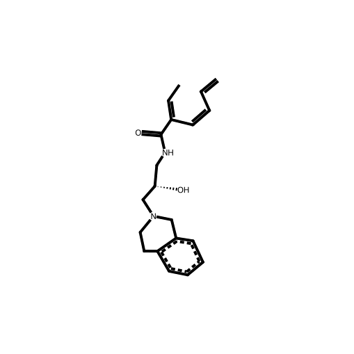 C=C/C=C\C(=C/C)C(=O)NC[C@H](O)CN1CCc2ccccc2C1